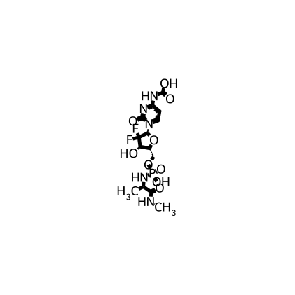 CNC(=O)C(C)NP(=O)(O)OC[C@H]1O[C@@H](n2ccc(NC(=O)O)nc2=O)C(F)(F)[C@@H]1O